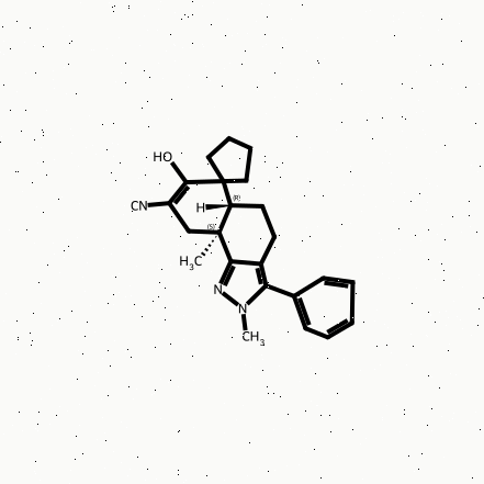 [C-]#[N+]C1=C(O)C2(CCCC2)[C@@H]2CCc3c(nn(C)c3-c3ccccc3)[C@@]2(C)C1